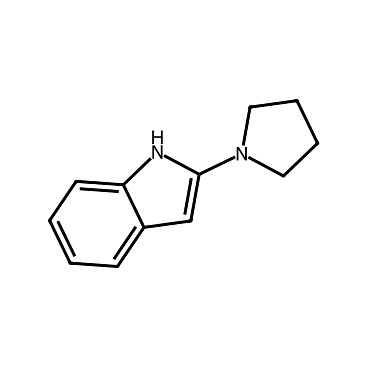 c1ccc2[nH]c(N3CCCC3)cc2c1